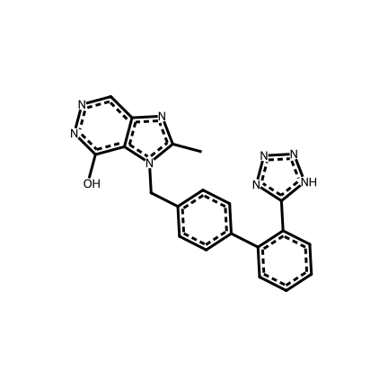 Cc1nc2cnnc(O)c2n1Cc1ccc(-c2ccccc2-c2nnn[nH]2)cc1